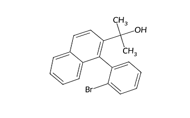 CC(C)(O)c1ccc2ccccc2c1-c1ccccc1Br